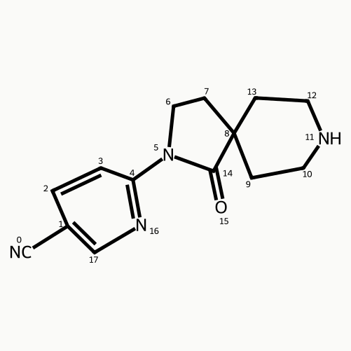 N#Cc1ccc(N2CCC3(CCNCC3)C2=O)nc1